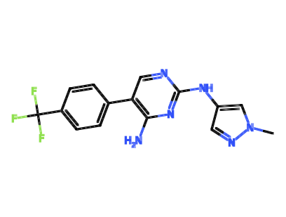 Cn1cc(Nc2ncc(-c3ccc(C(F)(F)F)cc3)c(N)n2)cn1